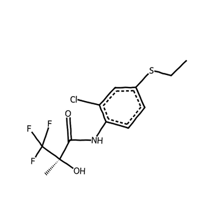 CCSc1ccc(NC(=O)[C@@](C)(O)C(F)(F)F)c(Cl)c1